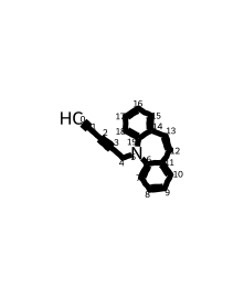 C#CC#CCN1c2ccccc2C=Cc2ccccc21